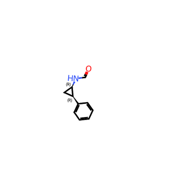 O=CN[C@@H]1C[C@@H]1c1ccccc1